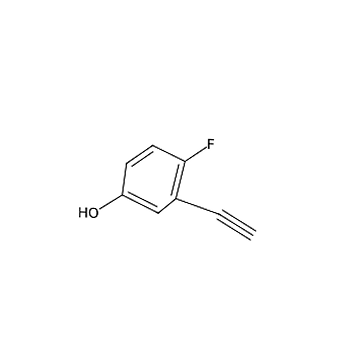 C#Cc1cc(O)ccc1F